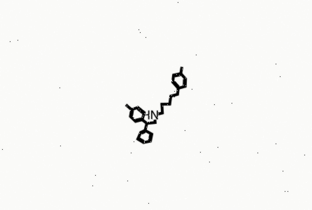 Cc1ccc(CCCCCNCC(c2ccccc2)c2ccc(C)cc2)cc1